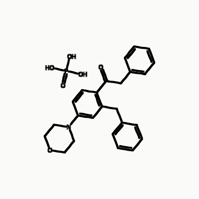 O=C(Cc1ccccc1)c1ccc(N2CCOCC2)cc1Cc1ccccc1.O=P(O)(O)O